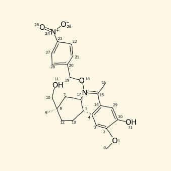 COc1cc([C@H]2CC[C@](C)(CO)CC2)c(C(C)=NOCc2ccc([N+](=O)[O-])cc2)cc1O